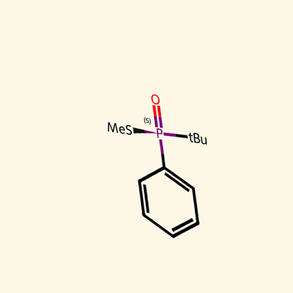 CS[P@](=O)(c1ccccc1)C(C)(C)C